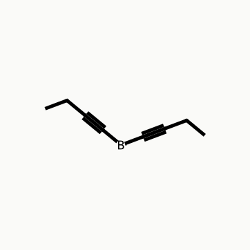 CCC#C[B]C#CCC